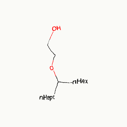 CCCCCCCC(CCCCCC)OCCO